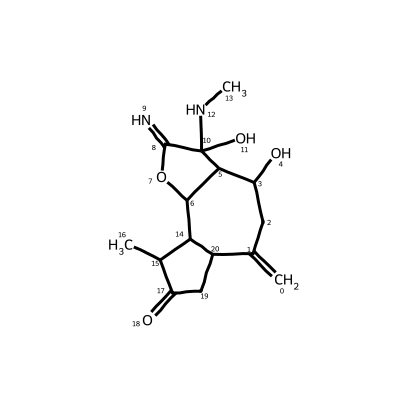 C=C1CC(O)C2C(OC(=N)C2(O)NC)C2C(C)C(=O)CC12